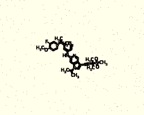 C=C(/C=C(\C=C/C)Nc1cc2c(cn1)c(C#CC(C)(C)S(C)(=O)=O)cn2C(C)C)C(=C)N1CC[C@H](OC)[C@H](F)C1